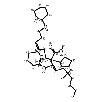 CCCCC(C)(C)C/C=C(/OC1CCCCO1)[C@](C(=O)OC)(C1CCCC1)[C@H](O)C/C=C\CCOC1CCCCO1